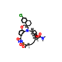 C[C@@H]1[C@@H](C)CCC[C@@](O)([C@@H](C)C(=O)N(C)C)[C@@H]2CC[C@H]2CN2C[C@@]3(CCCc4cc(Cl)ccc43)COc3ccc(cc32)C(=O)NS1(=O)=O